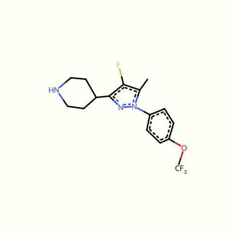 Cc1c(F)c(C2CCNCC2)nn1-c1ccc(OC(F)(F)F)cc1